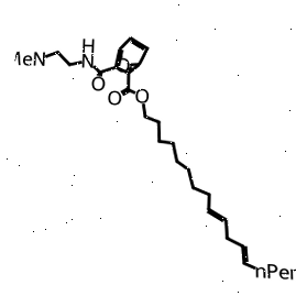 CCCCC/C=C/C/C=C/CCCCCCCCOC(=O)c1c(C(=O)NCCNC)c2ccc1o2